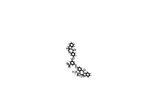 O=C1c2ccc(OCc3cc(COc4ccc5c(c4)N=C[C@@H]4Cc6ccccc6N4C5=O)cc([N+](=O)[O-])c3)cc2N(P(P)P)C[C@@H]2Cc3ccccc3N12